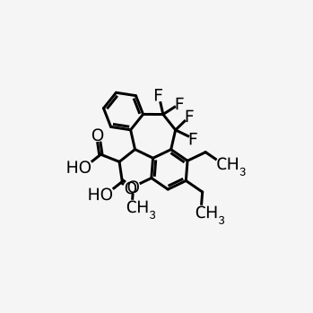 CCc1cc(OC)c2c(c1CC)C(F)(F)C(F)(F)c1ccccc1C2C(C(=O)O)C(=O)O